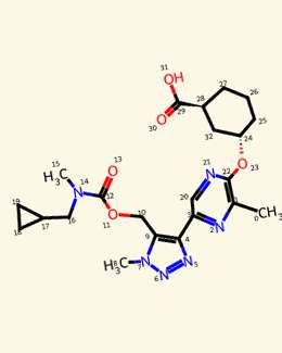 Cc1nc(-c2nnn(C)c2COC(=O)N(C)CC2CC2)cnc1O[C@H]1CCC[C@H](C(=O)O)C1